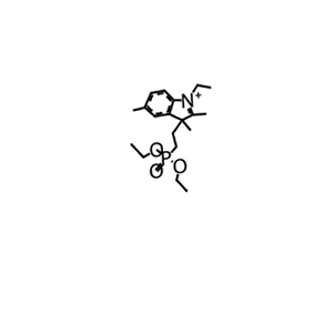 CCOP(=O)(CCC1(C)C(C)=[N+](CC)c2ccc(C)cc21)OCC